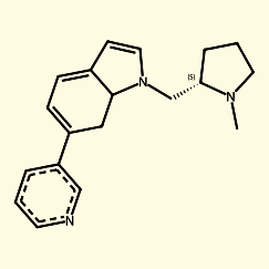 CN1CCC[C@H]1CN1C=CC2=CC=C(c3cccnc3)CC21